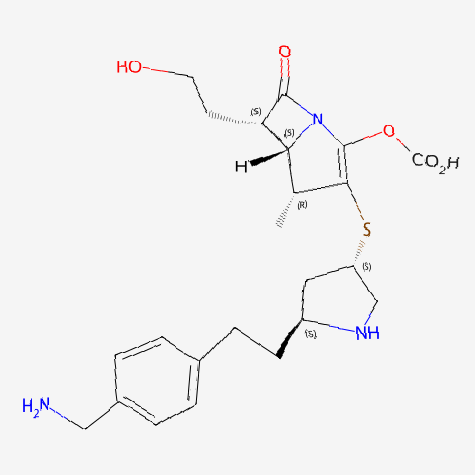 C[C@H]1C(S[C@@H]2CN[C@@H](CCc3ccc(CN)cc3)C2)=C(OC(=O)O)N2C(=O)[C@@H](CCO)[C@@H]12